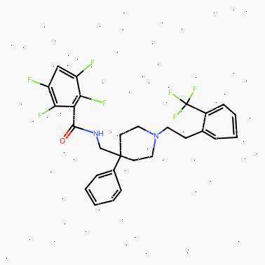 O=C(NCC1(c2ccccc2)CCN(CCc2ccccc2C(F)(F)F)CC1)c1c(F)c(F)cc(F)c1F